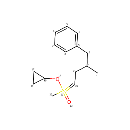 CC([CH]c1ccccc1)CC=S(C)(=O)OC1CC1